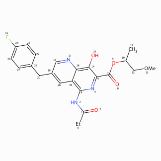 CCC(=O)Nc1nc(C(=O)OC(C)COC)c(O)c2ncc(Cc3ccc(F)cc3)cc12